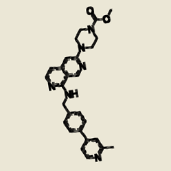 COC(=O)N1CCN(c2cc3ccnc(NCc4ccc(-c5ccnc(C)c5)cc4)c3cn2)CC1